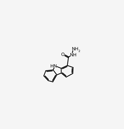 NNC(=O)c1cccc2c1[nH]c1ccccc12